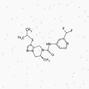 CC(C)Sc1cnn2c1CN(C(=O)Nc1ccnc(C(F)F)c1)[C@@H](C)C2